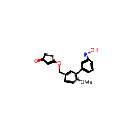 COc1ccc(COC2=CC(=O)CC2)cc1-c1cccc(NO)c1